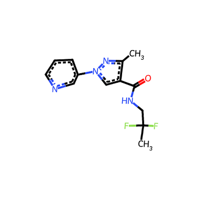 Cc1nn(-c2cccnc2)cc1C(=O)NCC(C)(F)F